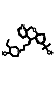 CCC1CN(CC/C=C2/c3cc(C(C)(C)O)ccc3OCc3ncccc32)CCC1O